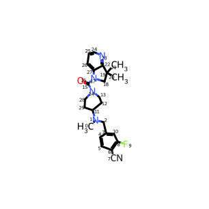 CN(Cc1ccc(C#N)c(F)c1)C1CCN(C(=O)N2CC(C)(C)c3ncccc32)CC1